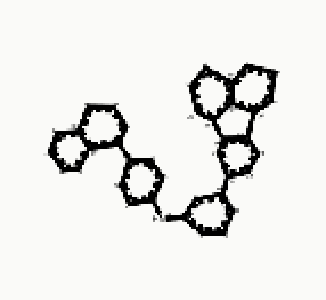 c1cc(Nc2ccc(-c3cccc4ccccc34)cc2)cc(-c2ccc3c(c2)-c2cccc4cccc-3c24)c1